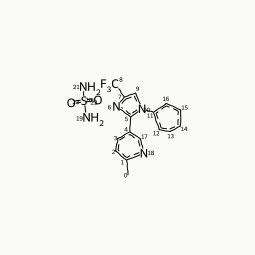 Cc1ccc(-c2nc(C(F)(F)F)cn2-c2ccccc2)cn1.NS(N)(=O)=O